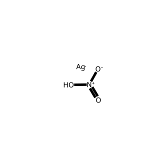 O=[N+]([O-])O.[Ag]